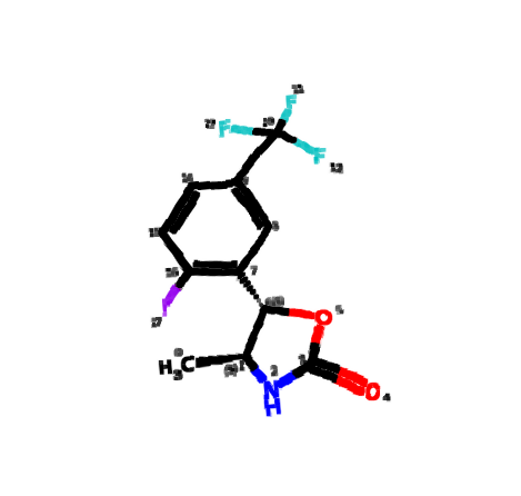 C[C@@H]1NC(=O)O[C@H]1c1cc(C(F)(F)F)ccc1I